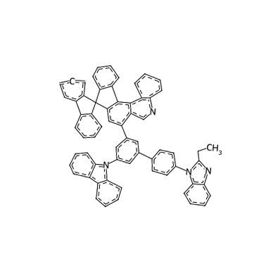 CCc1nc2ccccc2n1-c1ccc(-c2cc(-c3cc4c(c5c3cnc3ccccc35)-c3ccccc3C43c4ccccc4-c4ccccc43)cc(-n3c4ccccc4c4ccccc43)c2)cc1